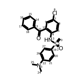 C=S(=O)(Nc1ccc(Cl)cc1C(=O)c1ccccc1)c1ccc(N(C)C)cc1